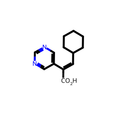 O=C(O)C(=CC1CCCCC1)c1cncnc1